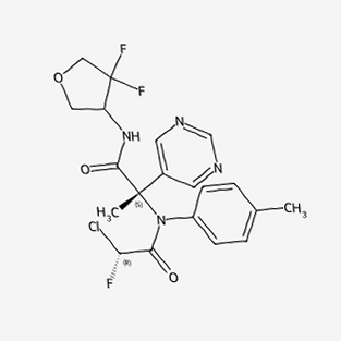 Cc1ccc(N(C(=O)[C@H](F)Cl)[C@](C)(C(=O)NC2COCC2(F)F)c2cncnc2)cc1